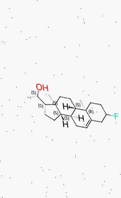 C[C@H](O)[C@H]1CC[C@H]2[C@@H]3CC=C4CC(F)CC[C@]4(C)[C@H]3CC[C@]12C